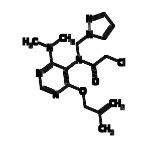 C=C(C)COc1ncnc(N(C)C)c1N(Cn1cccn1)C(=O)CCl